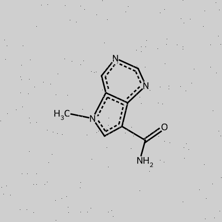 Cn1cc(C(N)=O)c2ncncc21